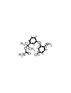 CC(C)(OC(N)=O)c1cccc(Oc2cc(Cl)ccc2N)c1